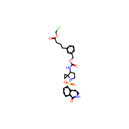 O=C(CCCc1cccc(COC(=O)NC2CCN(S(=O)(=O)c3cccc4c(=O)[nH]ccc34)C23CC3)c1)OCCl